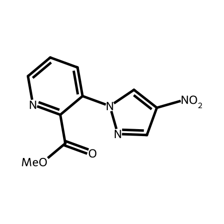 COC(=O)c1ncccc1-n1cc([N+](=O)[O-])cn1